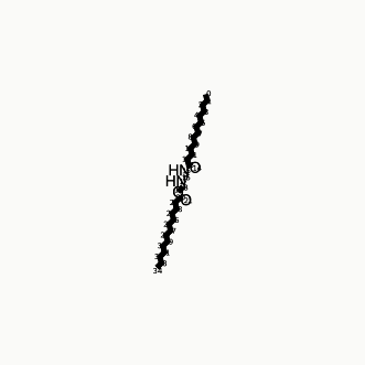 CCCCCCCCCCCCCC(=O)NCNCOC(=O)CCCCCCCCCCCCC